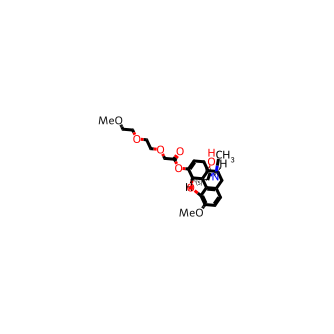 COCCOCCOCC(=O)OC1=CC[C@@]2(O)[C@H]3Cc4ccc(OC)c5c4[C@@]2(CCN3C)[C@H]1O5